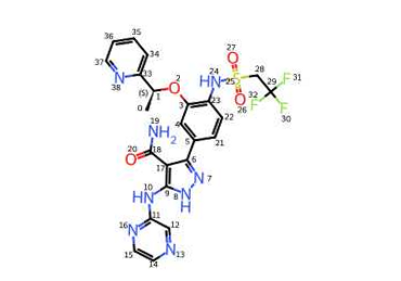 C[C@H](Oc1cc(-c2n[nH]c(Nc3cnccn3)c2C(N)=O)ccc1NS(=O)(=O)CC(F)(F)F)c1ccccn1